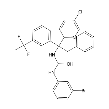 CC(F)(F)c1cccc(C(Cc2ccccc2)(NC(O)Nc2cccc(Br)c2)c2ccc(Cl)cn2)c1